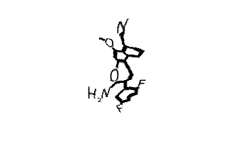 COc1cc2c(c3cccc(C#N)c13)CC(c1cc(F)ccc1F)C(N)O2